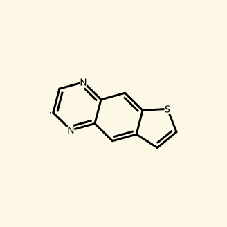 [c]1cnc2cc3sccc3cc2n1